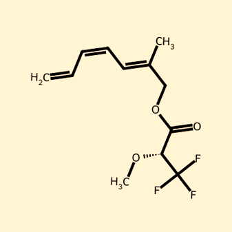 C=C/C=C\C=C(/C)COC(=O)[C@@H](OC)C(F)(F)F